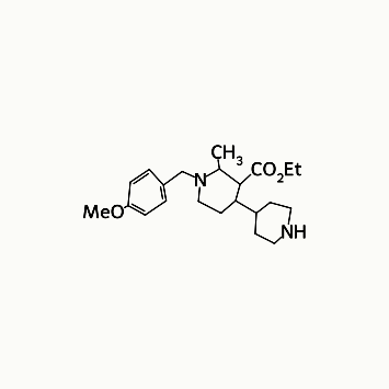 CCOC(=O)C1C(C2CCNCC2)CCN(Cc2ccc(OC)cc2)C1C